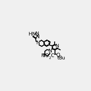 Cc1nc(C)c(C(OC(C)(C)C)C(=O)O)c(N2CCC(C)(C)CC2)c1-c1ccc2c(c1)CCN(Cc1c[nH]nn1)C2